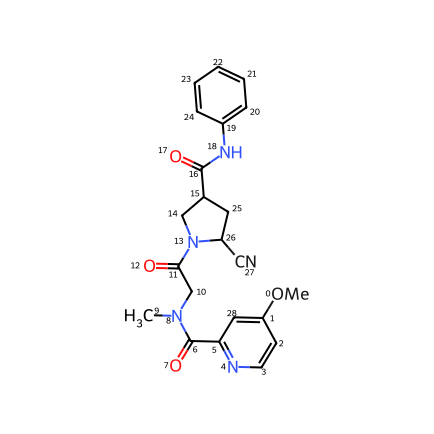 COc1ccnc(C(=O)N(C)CC(=O)N2CC(C(=O)Nc3ccccc3)CC2C#N)c1